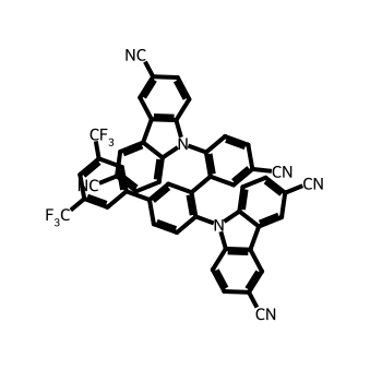 N#Cc1ccc(-n2c3ccc(C#N)cc3c3cc(C#N)ccc32)c(-c2cc(-c3cc(C(F)(F)F)cc(C(F)(F)F)c3)ccc2-n2c3ccc(C#N)cc3c3cc(C#N)ccc32)c1